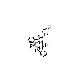 FC(F)(F)c1ccccc1-c1nc(Nc2n[nH]c3ccccc23)cc(N2CCN(S)CC2)n1